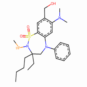 CCCCC1(CC)CN(c2ccccc2)c2cc(N(C)C)c(CO)cc2S(=O)(=O)N1PC